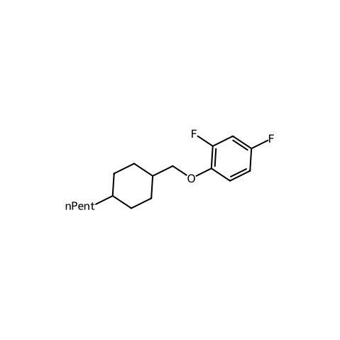 CCCCCC1CCC(COc2ccc(F)cc2F)CC1